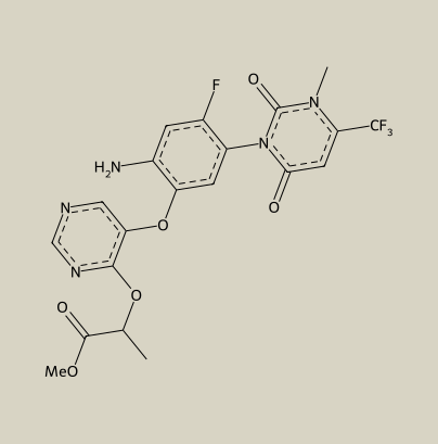 COC(=O)C(C)Oc1ncncc1Oc1cc(-n2c(=O)cc(C(F)(F)F)n(C)c2=O)c(F)cc1N